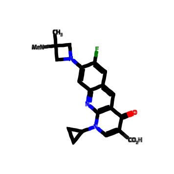 CNC1(C)CN(c2cc3nc4c(cc3cc2F)c(=O)c(C(=O)O)cn4C2CC2)C1